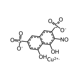 O=Nc1c(S(=O)(=O)[O-])cc2cc(S(=O)(=O)[O-])cc(O)c2c1O.[Cu+2]